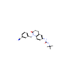 CC(C)(C)NC(=O)Nc1ccc2c(c1)CCC(=O)N2Cc1cccc(C#N)c1